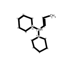 CC=C[SiH](N1CCCCC1)N1CCCCC1